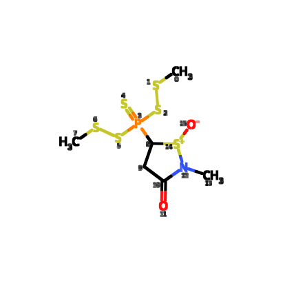 CSSP(=S)(SSC)C1CC(=O)N(C)[S+]1[O-]